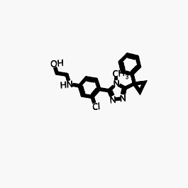 Cn1c(-c2ccc(NCCO)cc2Cl)nnc1C1(c2ccccc2)CC1